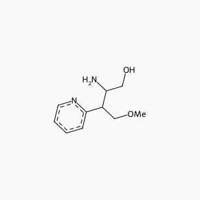 COCC(c1ccccn1)C(N)CO